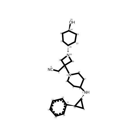 N#CCC1(N2CCC(N[C@@H]3C[C@H]3c3ccccc3)CC2)CN([C@H]2CC[C@H](O)CC2)C1